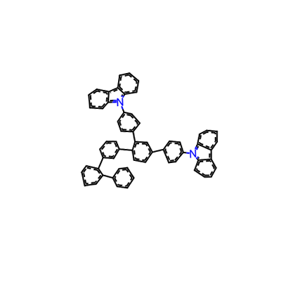 c1ccc(-c2ccccc2-c2cccc(-c3ccc(-c4ccc(-n5c6ccccc6c6ccccc65)cc4)cc3-c3ccc(-n4c5ccccc5c5ccccc54)cc3)c2)cc1